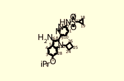 CC(C)Oc1ccc2c(N)c(-c3ccc(NS(=O)(=O)C4CC4)nn3)n(C3CCC3)c2c1